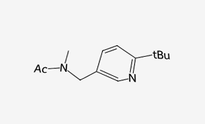 CC(=O)N(C)Cc1ccc(C(C)(C)C)nc1